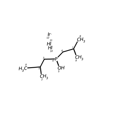 CC(C)CP(O)CC(C)C.I.I.[Ir]